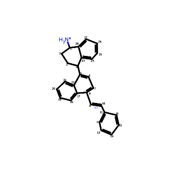 NC1CCC(c2ccc(/C=C/c3ccccc3)c3ccccc23)c2ccccc21